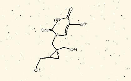 CCCc1cn(CC2(CO)CC2CO)c(=O)[nH]c1=O